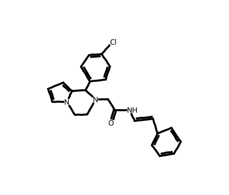 O=C(CN1CCn2cccc2C1c1ccc(Cl)cc1)NC=Cc1ccccc1